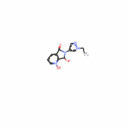 O=C1c2ccc[n+](O)c2C(O)N1c1cnn(CC(F)(F)F)c1